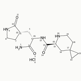 Cl.NC(=O)[C@H](C[C@@H]1CCNC1=O)NC(=O)[C@@H]1CC2(CCN1)CC2